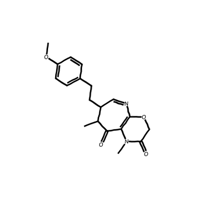 COc1ccc(CCC2C=NC3=C(C(=O)C2C)N(C)C(=O)CO3)cc1